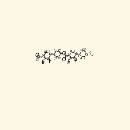 CCc1ccc(-c2ccc(C(=O)Oc3ccc(-c4ccc(C5CO5)c(F)c4F)cc3)c(F)c2F)cc1